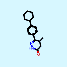 CC1CC(=O)NN=C1c1ccc(C2CCCCC2)cc1